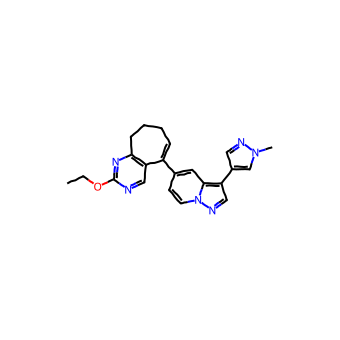 CCOc1ncc2c(n1)CCCC=C2c1ccn2ncc(-c3cnn(C)c3)c2c1